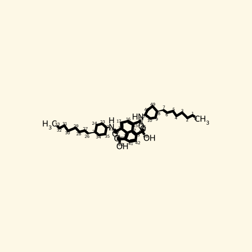 CCCCCCCC[C@H]1CC[C@H](NC(=O)c2ccc(C(=O)N[C@H]3CC[C@H](CCCCCCCC)CC3)c3c(C(=O)O)ccc(C(=O)O)c23)CC1